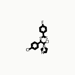 Fc1ccc(C(=S)SC(c2ccc(Cl)cc2)C(Cl)n2ccnc2)cc1